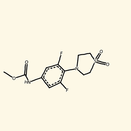 COC(=O)Nc1cc(F)c(N2CCS(=O)(=O)CC2)c(F)c1